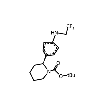 CC(C)(C)OC(=O)N1CCCC[C@H]1c1ccc(NCC(F)(F)F)cc1